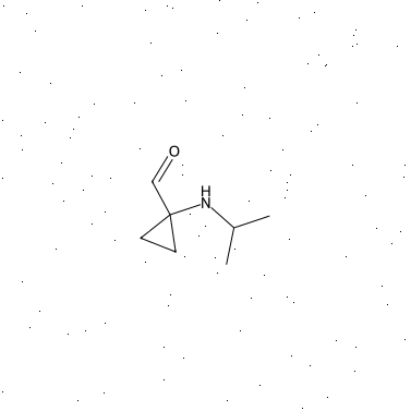 CC(C)NC1(C=O)CC1